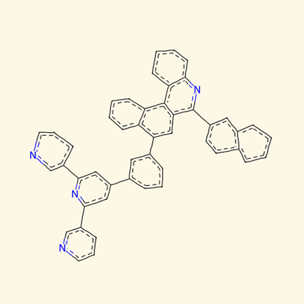 c1cncc(-c2cc(-c3cccc(-c4cc5c(-c6ccc7ccccc7c6)nc6ccccc6c5c5ccccc45)c3)cc(-c3cccnc3)n2)c1